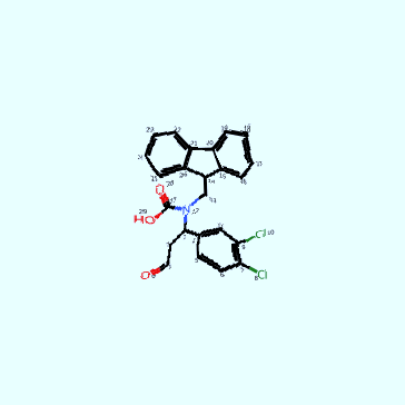 O=CCC(c1ccc(Cl)c(Cl)c1)N(CC1c2ccccc2-c2ccccc21)C(=O)O